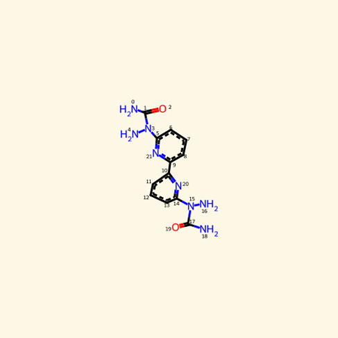 NC(=O)N(N)c1cccc(-c2cccc(N(N)C(N)=O)n2)n1